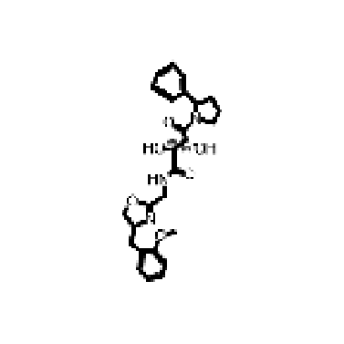 COc1ccccc1CC1COC(CNC(=O)[C@H](O)[C@@H](O)C(=O)N2CCCC2c2ccccc2)=N1